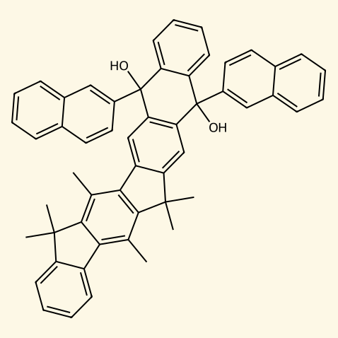 Cc1c2c(c(C)c3c1C(C)(C)c1ccccc1-3)C(C)(C)c1cc3c(cc1-2)C(O)(c1ccc2ccccc2c1)c1ccccc1C3(O)c1ccc2ccccc2c1